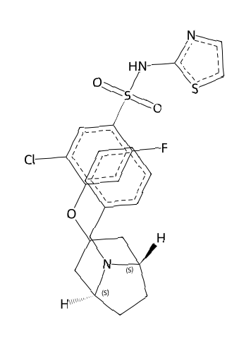 O=S(=O)(Nc1nccs1)c1cc(Cl)c(OC2C[C@@H]3CC[C@@H](C2)N3Cc2ccccc2)cc1F